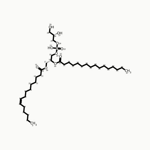 CCCCC/C=C\CCCCCCCC(=O)OC[C@H](COP(=O)(O)OC[C@@H](O)CO)OC(=O)CCCCCCCCCCCCCCC